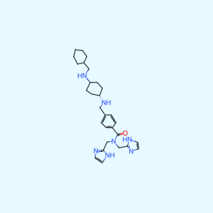 O=C(c1ccc(CN[C@H]2CC[C@H](NCC3CCCCC3)CC2)cc1)N(Cc1ncc[nH]1)Cc1ncc[nH]1